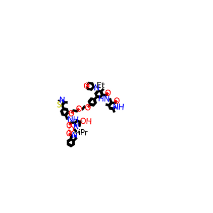 CCN(c1cc(-c2ccc(OCCOCCOc3cc(-c4scnc4C)ccc3CNC(=O)C3C[C@@H](O)CN3C(=O)[C@H](C(C)C)N3Cc4ccccc4C3=O)cc2)cc(C(=O)NCc2c(C)cc(C)[nH]c2=O)c1C)C1CCOCC1